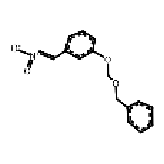 O=[N+]([O-])C=Cc1cccc(OCOCc2ccccc2)c1